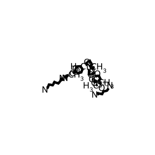 CC#N.CC1=NCCO1.CN1CCOC1=O.C[S+](C)[O-].N#CCCCC#N.N#CCCCCC#N.O=C1CCCCCO1.O=S1(=O)CCCC1